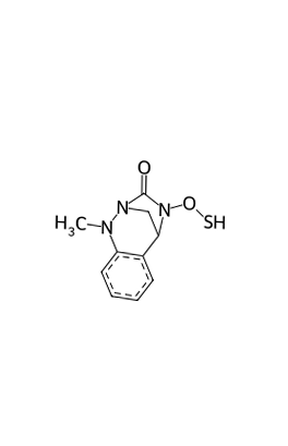 CN1c2ccccc2C2CN1C(=O)N2OS